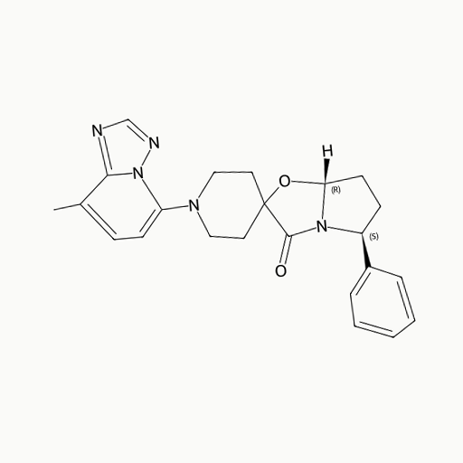 Cc1ccc(N2CCC3(CC2)O[C@@H]2CC[C@@H](c4ccccc4)N2C3=O)n2ncnc12